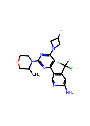 C[C@H]1COCCN1c1nc(-c2cnc(N)cc2C(F)(F)F)cc(N2CC(F)C2)n1